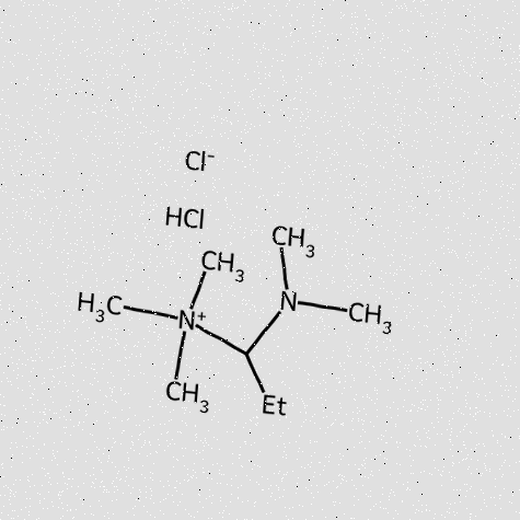 CCC(N(C)C)[N+](C)(C)C.Cl.[Cl-]